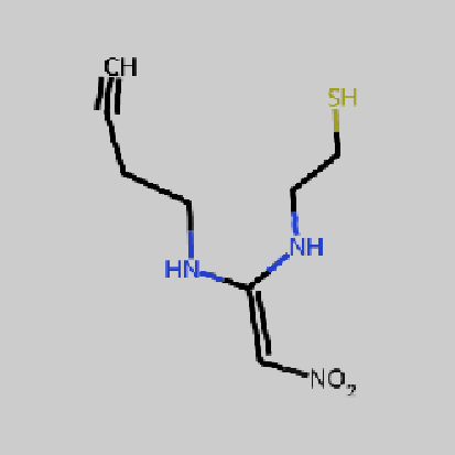 C#CCCNC(=C[N+](=O)[O-])NCCS